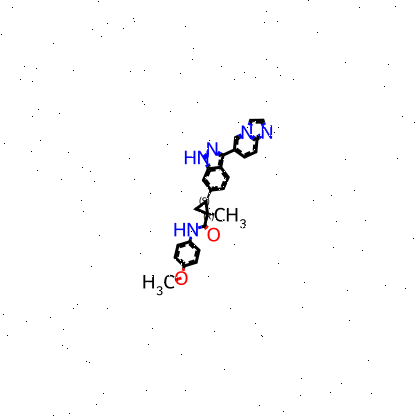 COc1ccc(NC(=O)[C@]2(C)C[C@H]2c2ccc3c(-c4ccc5nccn5c4)n[nH]c3c2)cc1